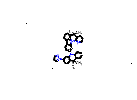 CC1(C)c2ccccc2N(c2ccc3c4cccc5c4n(c3c2)-c2ncccc2C5(C)C)c2cc(-n3cccn3)ccc21